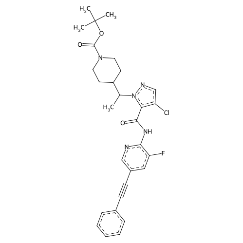 CC(C1CCN(C(=O)OC(C)(C)C)CC1)n1ncc(Cl)c1C(=O)Nc1ncc(C#Cc2ccccc2)cc1F